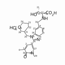 Cc1cc(-c2nc3ccc(CN[C@H](C(=O)O)[C@@H](C)O)cc3n2CC2CCCOC2)cn(C)c1=O.Cl